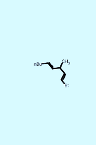 CCC=CC(C)C=CCCCC